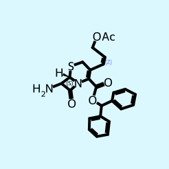 CC(=O)OC/C=C\C1=C(C(=O)OC(c2ccccc2)c2ccccc2)N2C(=O)C(N)[C@@H]2SC1